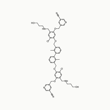 Cc1c(COc2cc(OCc3cncc(C#N)c3)c(CNCCCO)cc2Cl)cccc1-c1cccc(COc2cc(OCc3cncc(C#N)c3)c(CNCCCO)cc2Cl)c1C